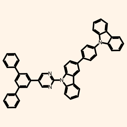 c1ccc(-c2cc(-c3ccccc3)cc(-c3cnc(-n4c5ccccc5c5cc(-c6ccc(-n7c8ccccc8c8ccccc87)cc6)ccc54)nc3)c2)cc1